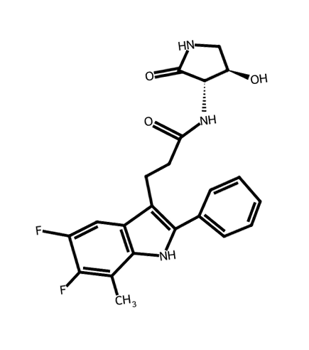 Cc1c(F)c(F)cc2c(CCC(=O)N[C@@H]3C(=O)NC[C@H]3O)c(-c3ccccc3)[nH]c12